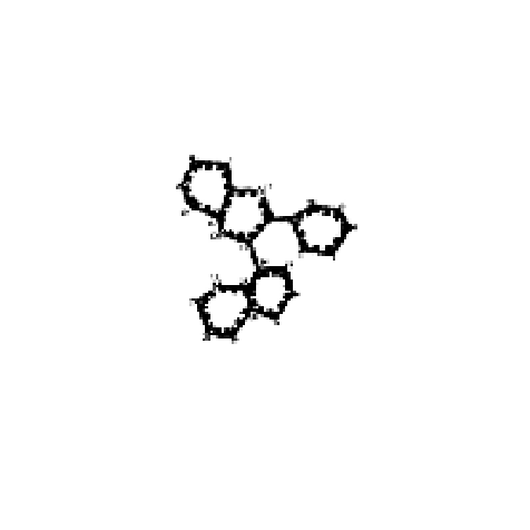 c1ccc(-c2nc3ccccc3nc2-c2cccc3cccnc23)cc1